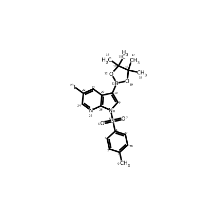 Cc1ccc(S(=O)(=O)n2cc(B3OC(C)(C)C(C)(C)O3)c3cc(I)cnc32)cc1